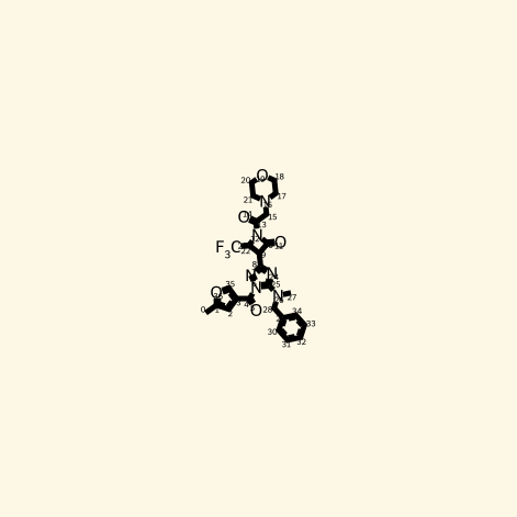 Cc1cc(C(=O)n2nc(C3C(=O)N(C(=O)CN4CCOCC4)C3C(F)(F)F)nc2N(C)Cc2ccccc2)co1